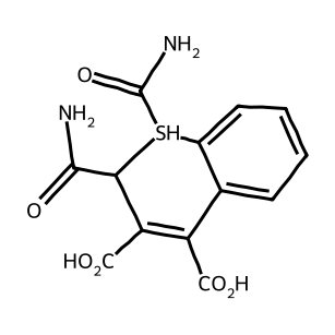 NC(=O)C1C(C(=O)O)=C(C(=O)O)c2ccccc2[SH]1C(N)=O